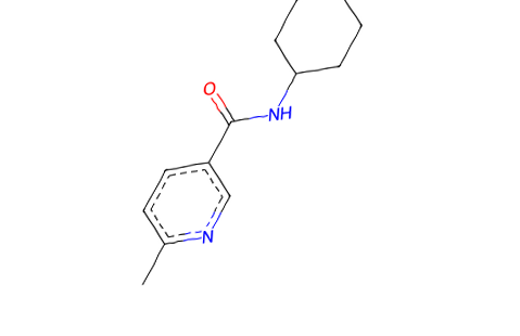 Cc1ccc(C(=O)NC2CCCCC2)cn1